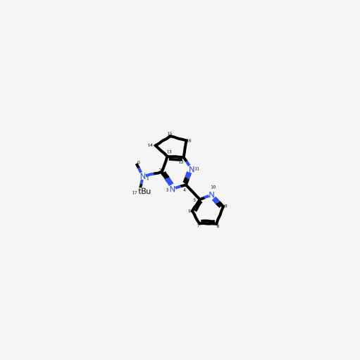 CN(c1nc(-c2ccccn2)nc2c1CCC2)C(C)(C)C